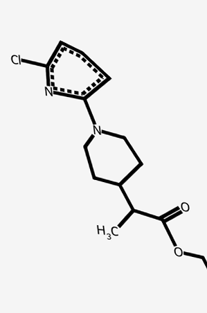 CCOC(=O)C(C)C1CCN(c2cccc(Cl)n2)CC1